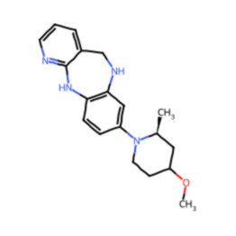 COC1CCN(c2ccc3c(c2)NCc2cccnc2N3)[C@@H](C)C1